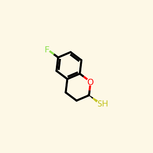 Fc1ccc2c(c1)CC[C@H](S)O2